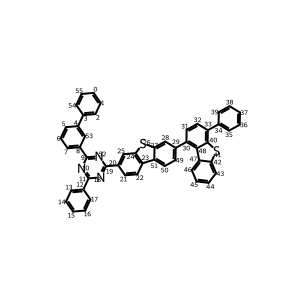 c1ccc(-c2cccc(-c3nc(-c4ccccc4)nc(-c4ccc5c(c4)sc4cc(-c6ccc(-c7ccccc7)c7sc8ccccc8c67)ccc45)n3)c2)cc1